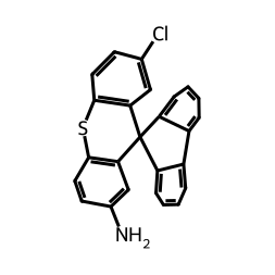 Nc1ccc2c(c1)C1(c3cc(Cl)ccc3S2)c2ccccc2-c2ccccc21